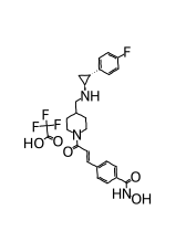 O=C(NO)c1ccc(/C=C/C(=O)N2CCC(CN[C@H]3C[C@@H]3c3ccc(F)cc3)CC2)cc1.O=C(O)C(F)(F)F